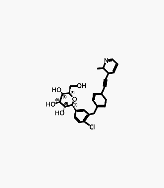 CC1N=CC=CC1C#CC1C=CC(Cc2cc([C@@H]3O[C@H](CO)[C@@H](O)[C@H](O)[C@H]3O)ccc2Cl)=CC1